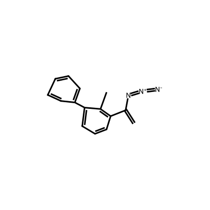 C=C(N=[N+]=[N-])c1cccc(-c2ccccc2)c1C